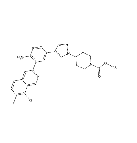 CC(C)(C)OC(=O)N1CCC(n2cc(-c3cnc(N)c(-c4cc5ccc(F)c(Cl)c5cn4)c3)cn2)CC1